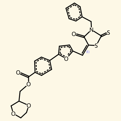 O=C(OCC1COCCO1)c1ccc(-c2ccc(/C=C3/SC(=S)N(Cc4ccccc4)C3=O)o2)cc1